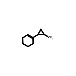 C[C]1CC1C1=CCCCC1